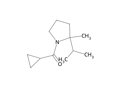 CC(C)C1(C)CCCN1C(=O)C1CC1